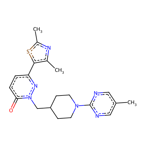 Cc1cnc(N2CCC(Cn3nc(-c4sc(C)nc4C)ccc3=O)CC2)nc1